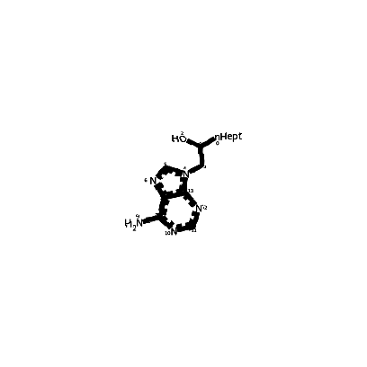 CCCCCCCC(O)Cn1cnc2c(N)ncnc21